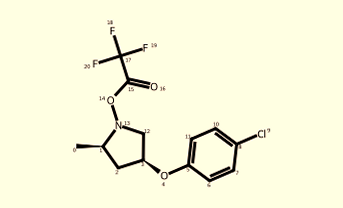 C[C@@H]1C[C@H](Oc2ccc(Cl)cc2)CN1OC(=O)C(F)(F)F